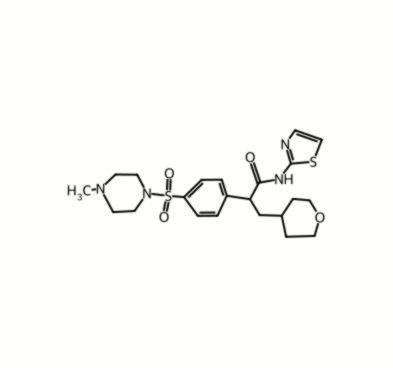 CN1CCN(S(=O)(=O)c2ccc(C(CC3CCOCC3)C(=O)Nc3nccs3)cc2)CC1